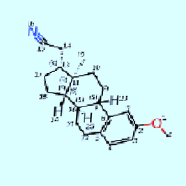 COc1ccc2c(c1)[C@H]1CC[C@]3(C)[C@@H](CC#N)CC[C@H]3[C@@H]1CC2